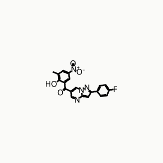 Cc1cc([N+](=O)[O-])cc(C(=O)c2cnc3cc(-c4ccc(F)cc4)nn3c2)c1O